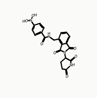 O=C1CCC(N2C(=O)c3cccc(CNC(=O)c4ccc(N(O)O)cc4)c3C2=O)C(=O)N1